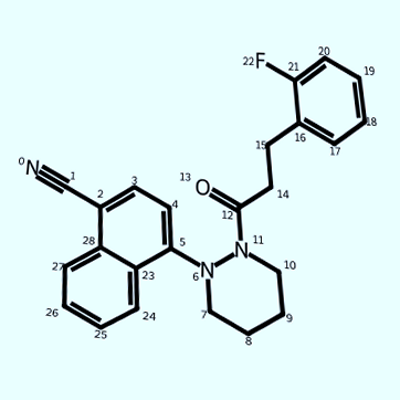 N#Cc1ccc(N2CCCCN2C(=O)CCc2ccccc2F)c2ccccc12